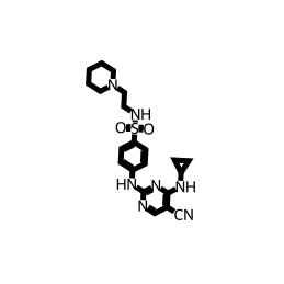 N#Cc1cnc(Nc2ccc(S(=O)(=O)NCCN3CCCCC3)cc2)nc1NC1CC1